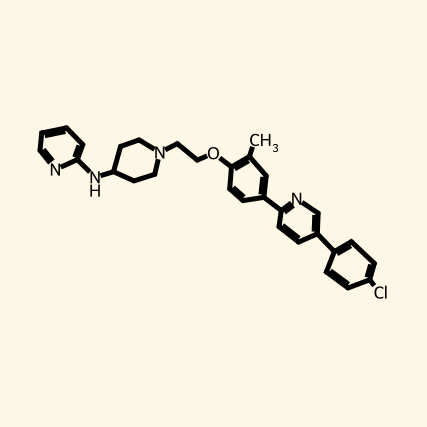 Cc1cc(-c2ccc(-c3ccc(Cl)cc3)cn2)ccc1OCCN1CCC(Nc2ccccn2)CC1